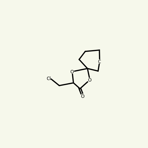 O=C1OC2(CCCCC2)OC1CCl